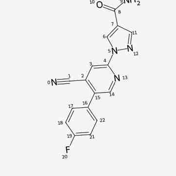 N#Cc1cc(-n2cc(C(N)=O)cn2)ncc1-c1ccc(F)cc1